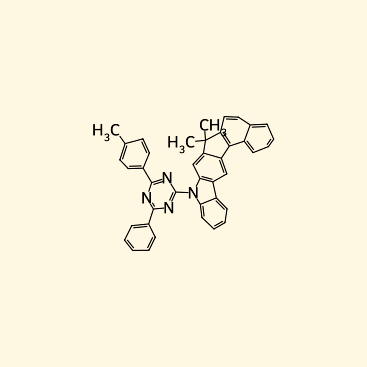 Cc1ccc(-c2nc(-c3ccccc3)nc(-n3c4ccccc4c4cc5c(cc43)C(C)(C)c3ccc4ccccc4c3-5)n2)cc1